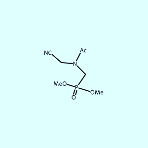 COP(=O)(CN(CC#N)C(C)=O)OC